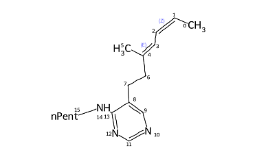 C/C=C\C=C(/C)CCc1cncnc1NCCCCC